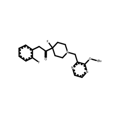 CC(C)(C)Oc1nccnc1CN1CCC(F)(C(=O)Cc2ccccc2F)CC1